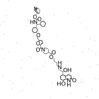 O=C(N[C@@H](c1ccccc1)c1cccc(OCc2ccc(C(=O)N3CCC(C(=O)OCCCCNCC(O)c4ccc(O)c5[nH]c(=O)ccc45)CC3)o2)c1)OC1CN2CCC1CC2